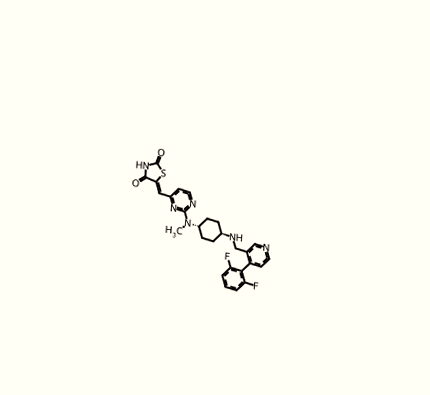 CN(c1nccc(/C=C2\SC(=O)NC2=O)n1)[C@H]1CC[C@H](NCc2cnccc2-c2c(F)cccc2F)CC1